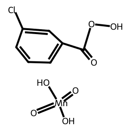 O=C(OO)c1cccc(Cl)c1.[O]=[Mn](=[O])([OH])[OH]